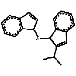 CC(C)C1=Cc2ccccc2[CH]1[Zr][CH]1C=Cc2ccccc21